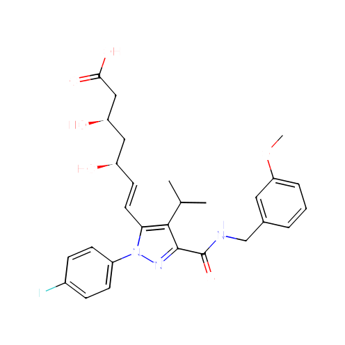 COc1cccc(CNC(=O)c2nn(-c3ccc(F)cc3)c(/C=C/[C@@H](O)C[C@@H](O)CC(=O)O)c2C(C)C)c1